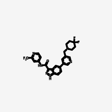 O=C(Nc1ccnc(C(F)(F)F)c1)c1n[nH]c2ccc(-c3cncc(CN4CCC(F)(F)CC4)c3)cc12